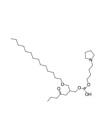 CCCCCCCCCCCCCCOCC(COP(O)OCCCCN1CCCC1)CC(=O)CCC